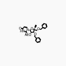 C#C[C@]1(COCc2ccccc2)O[C@@H](n2ccc(=O)[nH]c2=O)[C@@H](OC(C)=O)[C@@H]1OCc1ccccc1